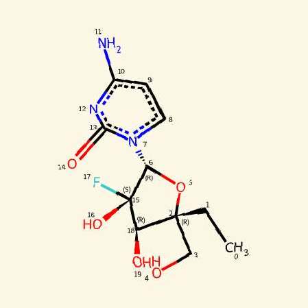 CC[C@]1(CO)O[C@@H](n2ccc(N)nc2=O)[C@@](O)(F)[C@@H]1O